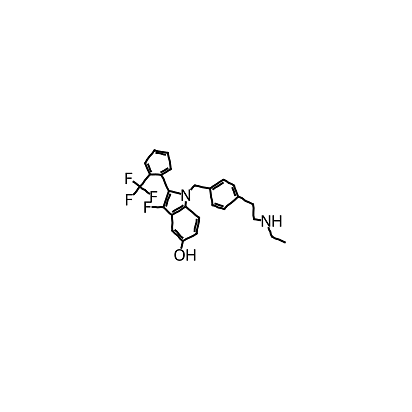 CCNCCc1ccc(Cn2c(-c3ccccc3C(F)(F)F)c(F)c3cc(O)ccc32)cc1